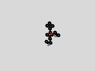 c1ccc(C2(c3ccccc3)c3ccccc3-c3cc(-c4cccc(-c5ccccc5N(c5ccc(-c6cccc7c6oc6ccccc67)cc5)c5ccc(-c6cccc7sc8ccccc8c67)cc5)c4)ccc32)cc1